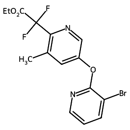 CCOC(=O)C(F)(F)c1ncc(Oc2ncccc2Br)cc1C